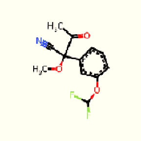 COC(C#N)(C(C)=O)c1cccc(OC(F)F)c1